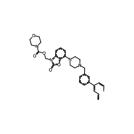 C=C/C=C(\C=C/C)c1cccc(CN2CCN(c3cccc4c3oc(=O)n4COC(=O)N3CCOCC3)CC2)c1